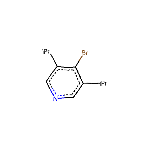 CC(C)c1cncc(C(C)C)c1Br